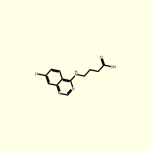 O=C(O)CCCNc1ncnc2cc(Cl)ccc12